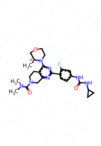 C[C@H]1COCCN1c1nc(-c2ccc(NC(=O)NC3CC3)cc2F)nc2c1CCN(C(=O)N(C)C)C2